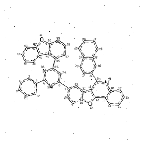 c1ccc(-c2nc(-c3ccc4oc5c6ccccc6nc(-c6ccc7ccccc7c6)c5c4c3)cc(-c3cccc4oc5ccccc5c34)n2)cc1